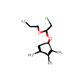 CCCOC(CCl)OC1CC(C)C(C)=C1C